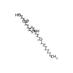 CCCCCCCCCCCCCCCCNc1ccc(CCCC(=O)OCCCO)cc1